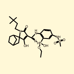 CCO[PH]1(O)N=C(C2=C(O)C3(CC4CCC3C4)N(CCC(C)(C)C)C2=O)Nc2ccc(NS(C)(=O)=O)cc21